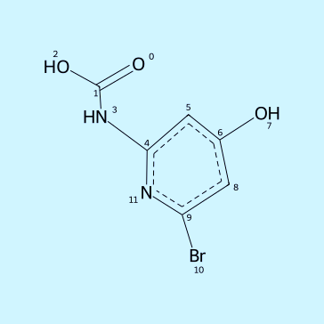 O=C(O)Nc1cc(O)cc(Br)n1